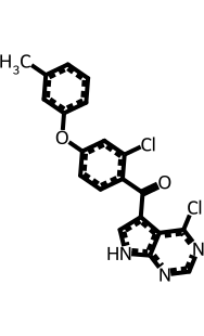 Cc1cccc(Oc2ccc(C(=O)c3c[nH]c4ncnc(Cl)c34)c(Cl)c2)c1